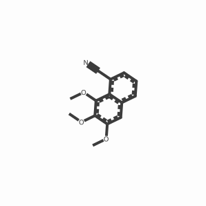 COc1cc2cccc(C#N)c2c(OC)c1OC